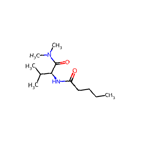 CCCCC(=O)N[C@H](C(=O)N(C)C)C(C)C